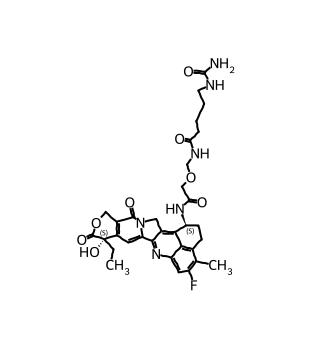 CC[C@@]1(O)C(=O)OCc2c1cc1n(c2=O)Cc2c-1nc1cc(F)c(C)c3c1c2[C@@H](NC(=O)COCNC(=O)CCCCNC(N)=O)CC3